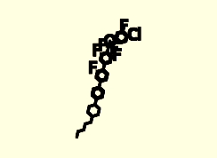 CCCCCC1CCC(c2ccc(-c3ccc(-c4cc(F)c(C(F)(F)Oc5ccc(Cl)c(F)c5)c(F)c4)c(F)c3)cc2)CC1